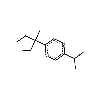 CCC(C)(CC)c1cnc(C(C)C)cn1